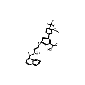 COc1cc(-c2cc(OCCN[C@H](C)c3cccc4ccccc34)cc(C(=O)O)c2)ccc1C(F)(F)F